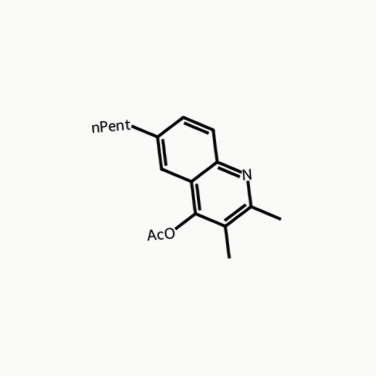 CCCCCc1ccc2nc(C)c(C)c(OC(C)=O)c2c1